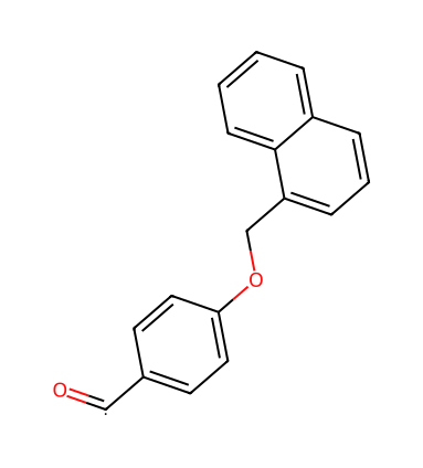 O=[C]c1ccc(OCc2cccc3ccccc23)cc1